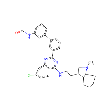 CN1CC(CCNc2nc(-c3cccc(-c4cccc(NC=O)c4)c3)nc3cc(Cl)ccc23)C2CCCCC21